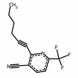 CCCCC#Cc1nc(C(F)(F)F)ccc1C#N